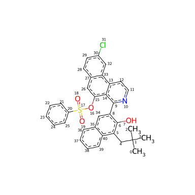 CC(C)(C)Cc1c(O)c(-c2nccc3c2c(OS(=O)(=O)c2ccccc2)cc2ccc(Cl)cc23)cc2ccccc12